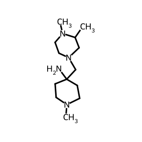 CC1CN(CC2(N)CCN(C)CC2)CCN1C